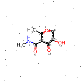 CNC(=O)c1c(C)occ(O)c1=O